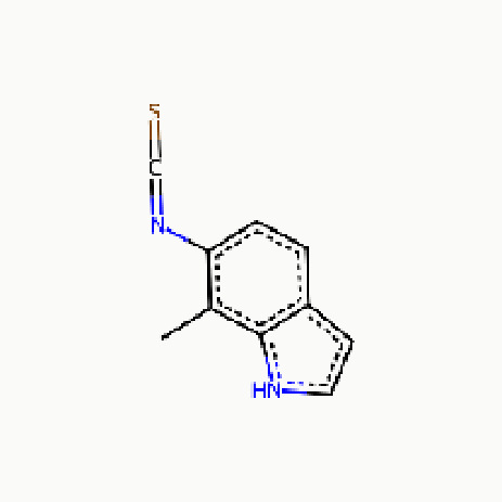 Cc1c(N=C=S)ccc2cc[nH]c12